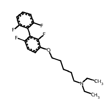 CCN(CC)CCCCCOc1ccc(F)c(-c2c(F)cccc2F)c1F